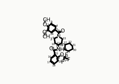 COc1ccc(C(=O)N2CC[C@@H](NC(=O)c3ccccc3OC(F)(F)F)[C@@H](C3CCCCC3)C2)cc1OC